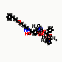 CC[N+](CC)(CC(=O)OCC(C(=O)OC1CC2CCC(C1)[N+]2(C)C(C)C)c1ccccc1)Cc1cc(C(O)CNCCCCCCOCCCCc2ccccc2)ccc1OO